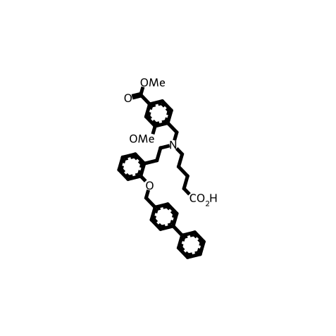 COC(=O)c1ccc(CN(CCCCC(=O)O)CCc2ccccc2OCc2ccc(-c3ccccc3)cc2)c(OC)c1